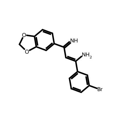 N=C(/C=C(\N)c1cccc(Br)c1)c1ccc2c(c1)OCO2